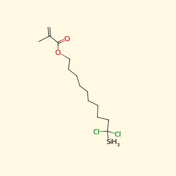 C=C(C)C(=O)OCCCCCCCCCC([SiH3])(Cl)Cl